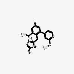 COc1cc(-c2cc(F)cc(C(C)C)c2Cc2nnc(S)[nH]2)ccn1